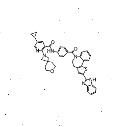 O=C(Nc1ccc(C(=O)N2CCc3cc(-c4nc5ccccc5[nH]4)sc3-c3ccccc32)cc1)c1cc(C2CC2)cnc1N1CC2(CCOCC2)C1